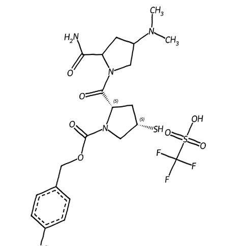 CN(C)C1CC(C(N)=O)N(C(=O)[C@@H]2C[C@H](S)CN2C(=O)OCc2ccc([N+](=O)[O-])cc2)C1.O=S(=O)(O)C(F)(F)F